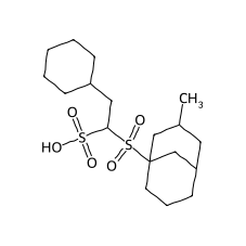 CC1CC2CCCC(S(=O)(=O)C(CC3CCCCC3)S(=O)(=O)O)(C1)C2